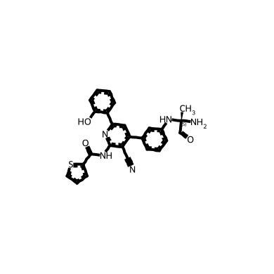 C[C@@](N)(C=O)Nc1cccc(-c2cc(-c3ccccc3O)nc(NC(=O)c3cccs3)c2C#N)c1